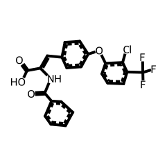 O=C(O)/C(=C/c1ccc(Oc2cccc(C(F)(F)F)c2Cl)cc1)NC(=O)c1ccccc1